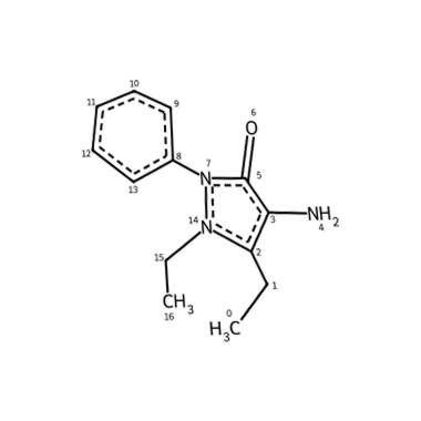 CCc1c(N)c(=O)n(-c2ccccc2)n1CC